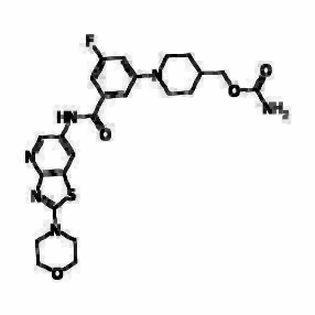 NC(=O)OCC1CCN(c2cc(F)cc(C(=O)Nc3cnc4nc(N5CCOCC5)sc4c3)c2)CC1